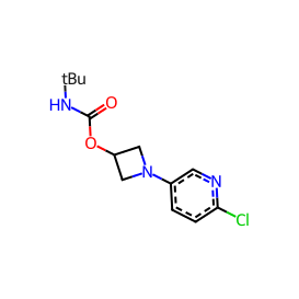 CC(C)(C)NC(=O)OC1CN(c2ccc(Cl)nc2)C1